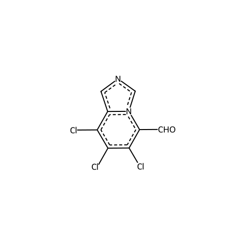 O=Cc1c(Cl)c(Cl)c(Cl)c2cncn12